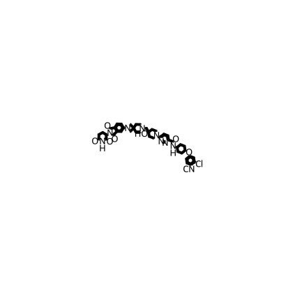 N#Cc1ccc(O[C@H]2CC[C@H](NC(=O)c3ccc(N4CCC(O)(CN5CCC6(CC5)CN(c5ccc7c(c5)C(=O)N(C5CCC(=O)NC5=O)C7=O)C6)CC4)nn3)CC2)cc1Cl